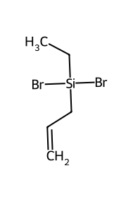 C=CC[Si](Br)(Br)CC